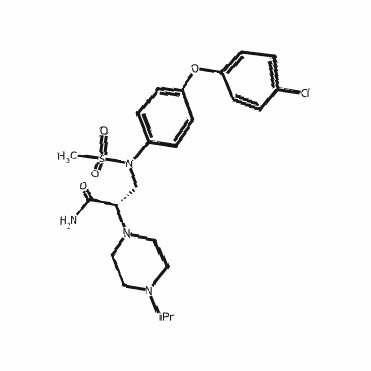 CC(C)N1CCN([C@@H](CN(c2ccc(Oc3ccc(Cl)cc3)cc2)S(C)(=O)=O)C(N)=O)CC1